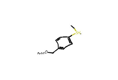 COCc1ccc([SH](C)C)cc1